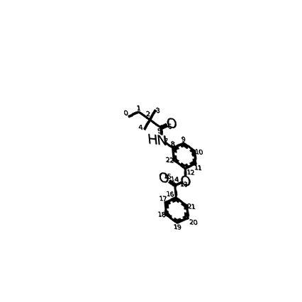 CCC(C)(C)C(=O)Nc1cccc(OC(=O)c2ccccc2)c1